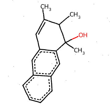 CC1=Cc2cc3ccccc3cc2C(C)(O)C1C